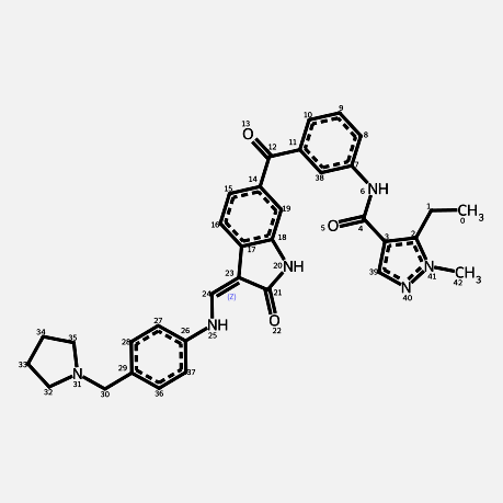 CCc1c(C(=O)Nc2cccc(C(=O)c3ccc4c(c3)NC(=O)/C4=C\Nc3ccc(CN4CCCC4)cc3)c2)cnn1C